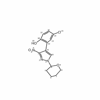 O=[N+]([O-])c1nn(C2CCCCO2)cc1-c1cc(Cl)ccc1O